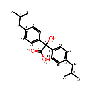 CC(C)Cc1ccc(C(O)(C(=O)O)c2ccc(CC(C)C)cc2)cc1